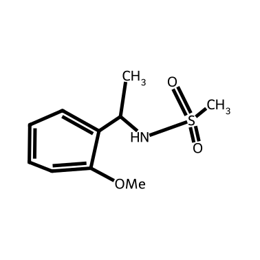 COc1ccccc1C(C)NS(C)(=O)=O